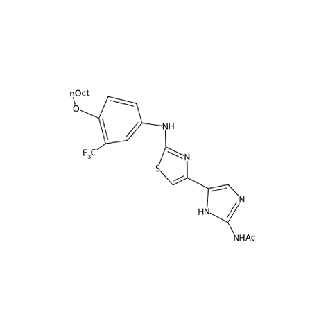 CCCCCCCCOc1ccc(Nc2nc(-c3cnc(NC(C)=O)[nH]3)cs2)cc1C(F)(F)F